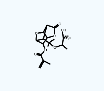 C=C(C)C(=O)OC1C2OC(=O)C3C2OC1C3C(C)(C)OC(C)C(O)(C(F)(F)F)C(F)(F)F